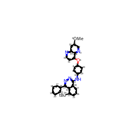 COc1cnc2c(Oc3ccc(Nc4nnc(-c5ccccc5)c5c(C(C)(C)C)cccc45)cc3)ccnc2c1